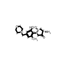 Cc1cc(CN2CCOCC2)cc(O)c1N1CC(=O)[C@@H](N)C[S+]1[O-]